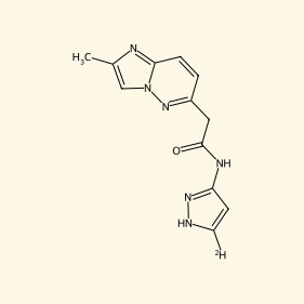 [2H]c1cc(NC(=O)Cc2ccc3nc(C)cn3n2)n[nH]1